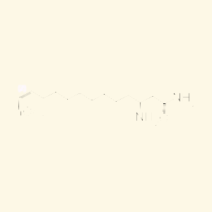 CCCCCCCC/C=C\CCCCCCCCC(N)CC(N)=O